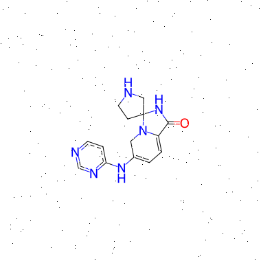 O=C1NC2(CCNC2)N2CC(Nc3ccncn3)=CC=C12